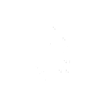 CN(C)CCN(C)c1ccc2cc1COC/C=C/CCOc1cccc(c1)-c1ccnc(n1)N2